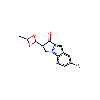 Bc1ccc2c(c1)cc1n2CC(C2OC(C)O2)C1=O